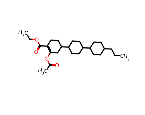 CCCC1CCC(C2CCC(C3CCC(C(=O)OCC)=C(OC(C)=O)C3)CC2)CC1